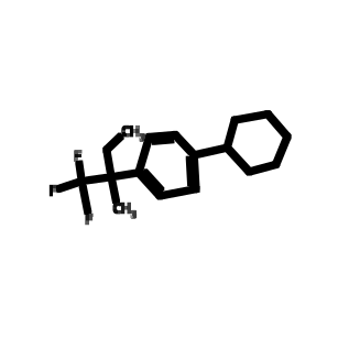 CCC(C)(c1ccc(C2CCCCC2)cc1)C(F)(F)F